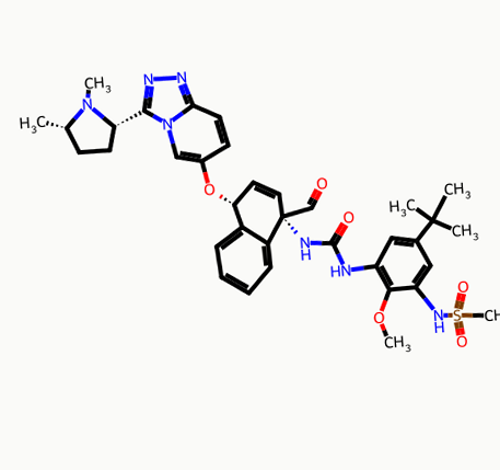 COc1c(NC(=O)N[C@@]2(C=O)C=C[C@@H](Oc3ccc4nnc([C@@H]5CC[C@H](C)N5C)n4c3)c3ccccc32)cc(C(C)(C)C)cc1NS(C)(=O)=O